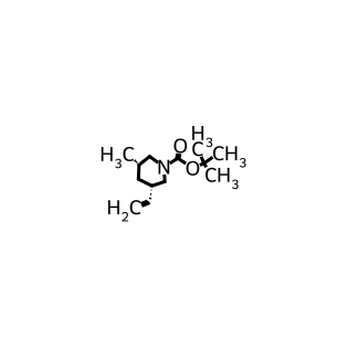 C=C[C@@H]1C[C@H](C)CN(C(=O)OC(C)(C)C)C1